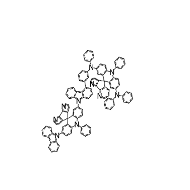 c1ccc(N(c2ccccc2)c2ccc3c(c2)C2(c4cc(N(c5ccccc5)c5cccc(-c6cccc7c6c6ccccc6n7-c6ccc7c(c6)C6(c8cc(-n9c%10ccccc%10c%10ccccc%109)ccc8N7c7ccccc7)c7cccnc7-c7ncccc76)c5)ccc4N3c3ccccc3)c3cccnc3-c3ncccc32)cc1